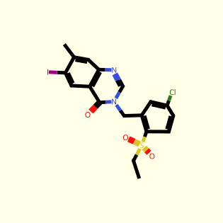 CCS(=O)(=O)c1ccc(Cl)cc1Cn1cnc2cc(C)c(I)cc2c1=O